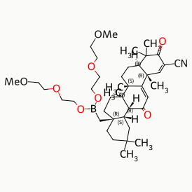 COCCOCCOB(C[C@]12CCC(C)(C)C[C@H]1[C@H]1C(=O)C=C3[C@@]4(C)C=C(C#N)C(=O)C(C)(C)[C@@H]4CC[C@@]3(C)[C@]1(C)CC2)OCCOCCOC